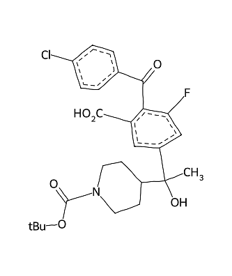 CC(C)(C)OC(=O)N1CCC(C(C)(O)c2cc(F)c(C(=O)c3ccc(Cl)cc3)c(C(=O)O)c2)CC1